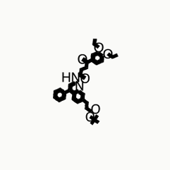 CCOc1ccc(C(=O)CCC(=O)Nc2cc(-c3ccccc3)c3ccc(CCC(=O)OC(C)(C)C)cc3n2)cc1OCC